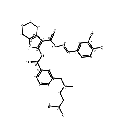 CCN(CC)CCN(C)Cc1cccc(C(=O)Nc2sc3c(c2C(=O)NN=Cc2ccc(Cl)c(C(F)(F)F)c2)CCCC3)c1